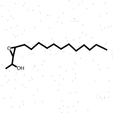 CCCCCCCCCCCCC1OC1C(C)O